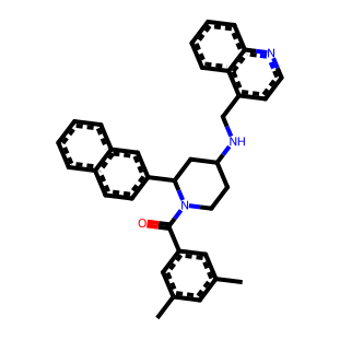 Cc1cc(C)cc(C(=O)N2CCC(NCc3ccnc4ccccc34)CC2c2ccc3ccccc3c2)c1